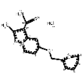 Cc1nn2ccc(OCc3ccccc3)cc2c1C(N)=S.Cl